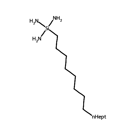 CCCCCCCCCCCCCCC[Si](N)(N)N